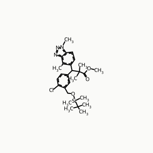 COC(=O)C(C)(C)C(c1ccc(Cl)c(CO[Si](C)(C)C(C)(C)C)c1)c1ccc2c(nnn2C)c1C